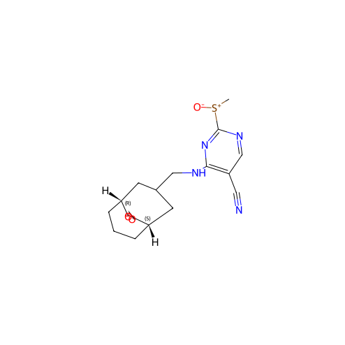 C[S+]([O-])c1ncc(C#N)c(NCC2C[C@H]3CCC[C@@H](C2)C32OCCO2)n1